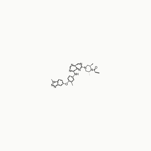 C=CC(=O)N1[C@H](C)CN(c2ncc3ncnc(Nc4ccc(Oc5ccc6c(c5)nnn6C)c(C)c4)c3n2)C[C@H]1C